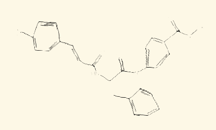 Nc1ccc(/C=C/C(=O)N[C@@H](Cc2ccccc2)C(=O)Nc2ccc(C(=O)NO)cc2)cc1